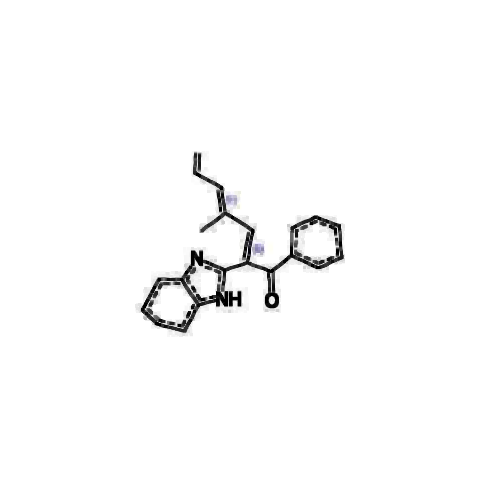 C=C/C=C(C)/C=C(/C(=O)c1ccccc1)c1nc2ccccc2[nH]1